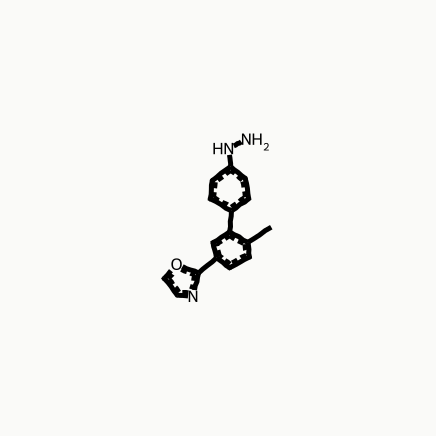 Cc1ccc(-c2ncco2)cc1-c1ccc(NN)cc1